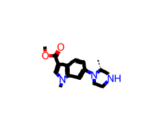 COC(=O)c1cn(C)c2cc(N3CCNC[C@H]3C)ccc12